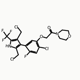 O=C(COc1cc(-c2c(CCl)[nH]c(C(F)(F)F)c2CCl)c(F)cc1Cl)N1CCOCC1